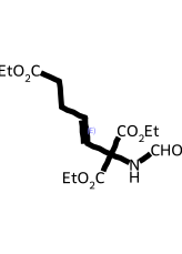 CCOC(=O)CC/C=C/C(NC=O)(C(=O)OCC)C(=O)OCC